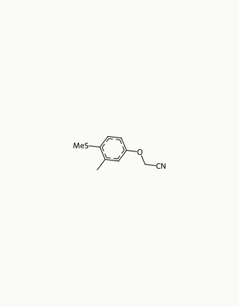 CSc1ccc(OCC#N)cc1C